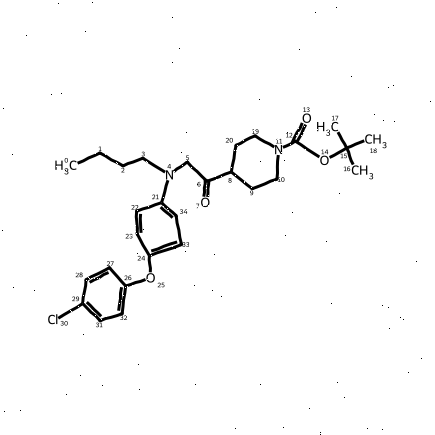 CCCCN(CC(=O)C1CCN(C(=O)OC(C)(C)C)CC1)c1ccc(Oc2ccc(Cl)cc2)cc1